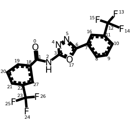 O=C(Nc1nnc(-c2cccc(C(F)(F)F)c2)o1)c1cccc(C(F)(F)F)c1